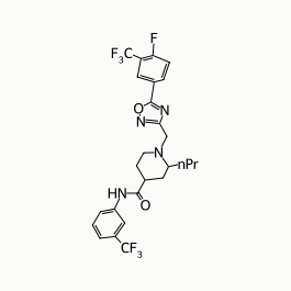 CCCC1CC(C(=O)Nc2cccc(C(F)(F)F)c2)CCN1Cc1noc(-c2ccc(F)c(C(F)(F)F)c2)n1